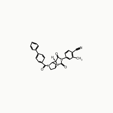 Cc1cc(N2C(=O)[C@H]3C4CC(CN4C(=O)c4ccc(-c5ccccc5)cc4)N3C2=O)ccc1C#N